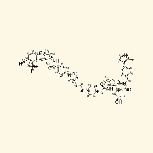 Cc1ncsc1-c1ccc(CNC(=O)[C@@H]2C[C@@H](O)CN2C(=O)C(NC(=O)CN2CCN(CCCc3cn(-c4ccc(C(=O)NC5C(C)(C)C(Oc6ccc(C#N)c(C(F)(F)F)c6)C5(C)C)cc4)nn3)CC2)C(C)(C)C)cc1